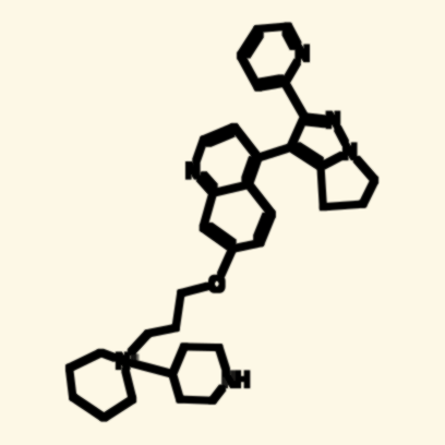 c1ccc(-c2nn3c(c2-c2ccnc4cc(OCCC[N+]5(C6CCNCC6)CCCCC5)ccc24)CCC3)nc1